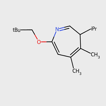 CC1=C(C)C(C(C)C)C=NC(OCC(C)(C)C)=C1